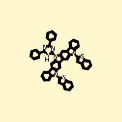 c1ccc(C2=NC(c3ccccc3)NC(n3c4cc5c6ccccc6n(-c6cc7ccccc7s6)c5cc4c4cc5c(cc43)c3ccccc3n5-c3cc4ccccc4s3)=N2)cc1